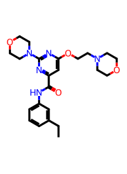 CCc1cccc(NC(=O)c2cc(OCCN3CCOCC3)nc(N3CCOCC3)n2)c1